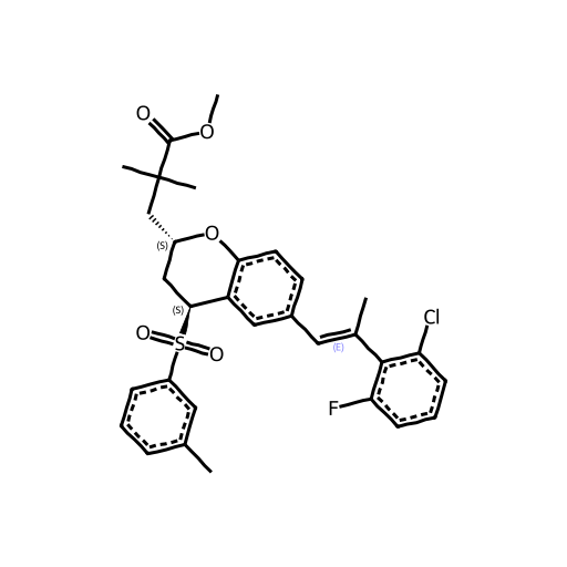 COC(=O)C(C)(C)C[C@H]1C[C@H](S(=O)(=O)c2cccc(C)c2)c2cc(/C=C(\C)c3c(F)cccc3Cl)ccc2O1